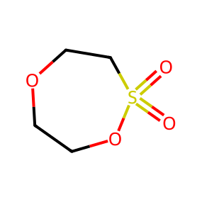 O=S1(=O)CCOCCO1